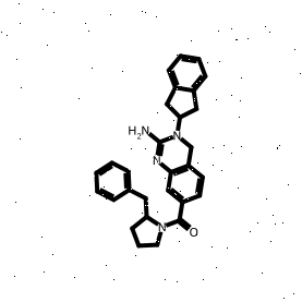 NC1=Nc2cc(C(=O)N3CCCC3Cc3ccccc3)ccc2CN1C1Cc2ccccc2C1